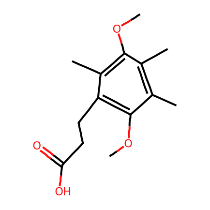 COc1c(C)c(C)c(OC)c(CCC(=O)O)c1C